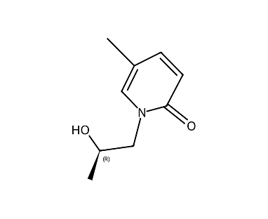 Cc1ccc(=O)n(C[C@@H](C)O)c1